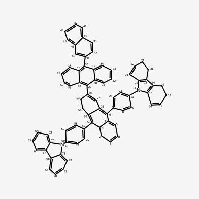 C1=CCC2C(=C1)C(c1ccc(-n3c4c(c5c3C=CCC5)CCC=C4)cc1)=C1C=C(c3c4ccccc4c(-c4ccc5ccccc5c4)c4ccccc34)CCC1=C2c1ccc(-n2c3ccccc3c3ccccc32)cc1